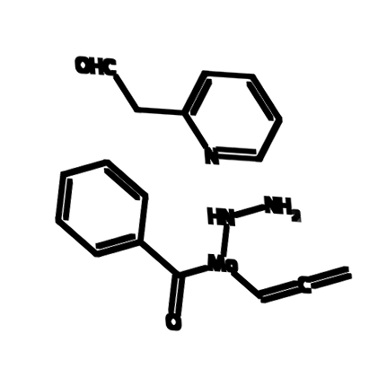 C=C=[CH][Mo]([NH]N)[C](=O)c1ccccc1.O=CCc1ccccn1